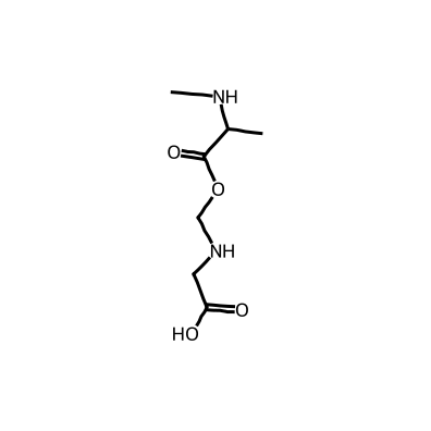 CNC(C)C(=O)OCNCC(=O)O